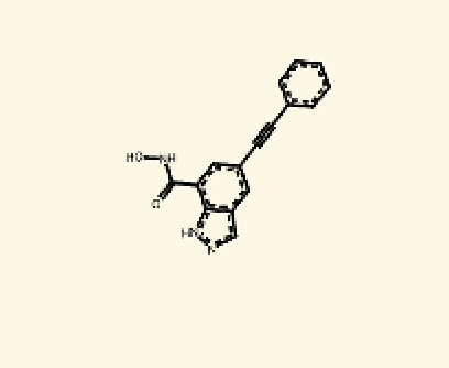 O=C(NO)c1cc(C#Cc2ccccc2)cc2cn[nH]c12